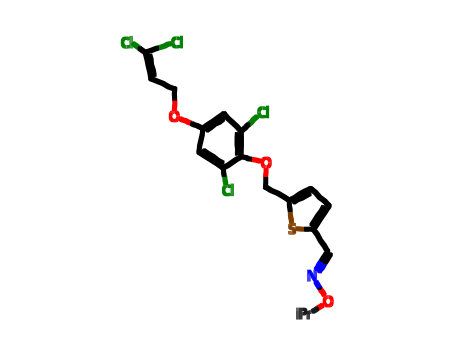 CC(C)ON=Cc1ccc(COc2c(Cl)cc(OCC=C(Cl)Cl)cc2Cl)s1